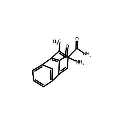 Cc1c(C(N)=O)cc2c(C(N)=O)c1c1cccc2c1